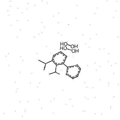 CC(C)c1cccc(-c2ccccc2)c1C(C)C.OO.OO